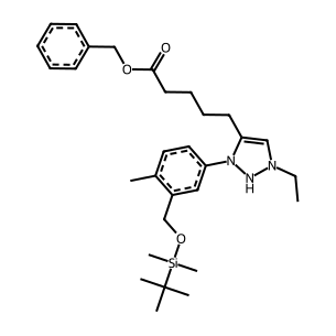 CCN1C=C(CCCCC(=O)OCc2ccccc2)N(c2ccc(C)c(CO[Si](C)(C)C(C)(C)C)c2)N1